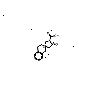 O=C(O)C1C[C@@]2(CCc3ccccc3C2)CC1=O